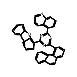 c1ccc2c(c1)ccc1cccc(-c3nc(-c4cccc5ncccc45)nc(-c4cccc5c4oc4ccccc45)n3)c12